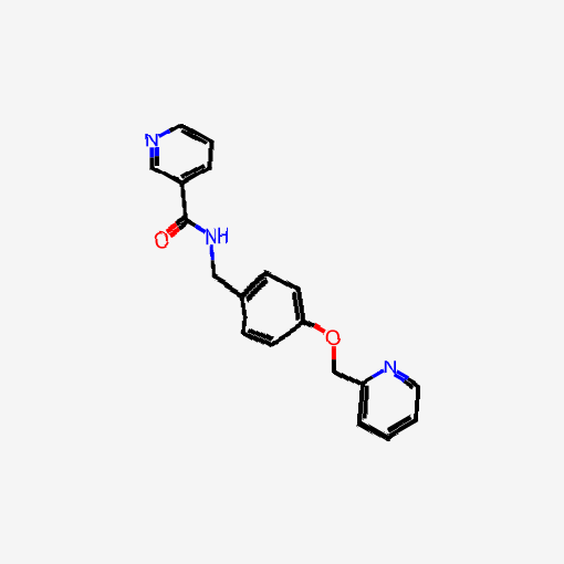 O=C(NCc1ccc(OCc2ccccn2)cc1)c1cccnc1